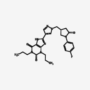 CCCn1c(=O)c2[nH]c(-c3cnn(CC4CC(=O)N(c5ccc(F)cc5)C4)c3)nc2n(CCC)c1=O